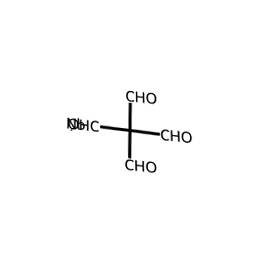 O=CC(C=O)(C=O)C=O.[Nb]